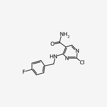 NC(=O)c1cnc(Cl)nc1NCc1ccc(F)cc1